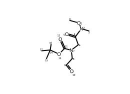 CON(C)C(=O)CN(CC=O)C(=O)OC(C)(C)C